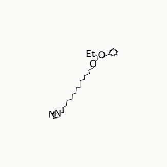 CCC(COCCCCCCCCCCCCCCCn1ccnc1)OCc1ccccc1